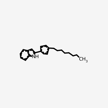 CCCCCCCCc1ccc(-c2cc3ccccc3[nH]2)cc1